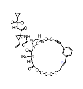 C=CC1C[C@]1(NC(=O)[C@@H]1C[C@@H]2CN1C(=O)[C@H](C(C)(C)C)NC(=O)OCCCCC/C=C/c1cccc(c1)C#CCO2)C(=O)NS(=O)(=O)C1CC1